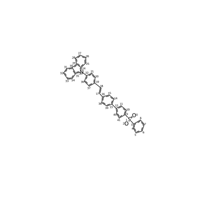 O=S(=O)(c1ccccc1)c1ccc(-c2ccc(C=Cc3ccc(-n4c5ccccc5c5ccccc54)cc3)cc2)cc1